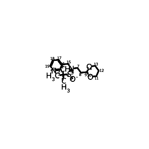 CC(C)(C)[S+]([O-])N(CCC1OCCCO1)Cc1cccnc1